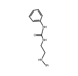 CC(C)NCCNC(=O)Nc1ccccc1